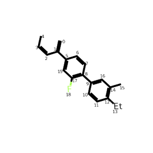 C=C(/C=C\C)c1ccc(-c2ccc(CC)c(C)c2)c(F)c1